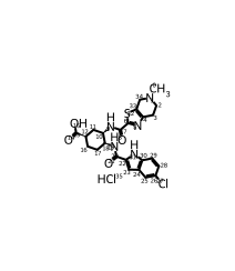 CN1CCc2nc(C(=O)N[C@@H]3C[C@H](C(=O)O)CC[C@@H]3NC(=O)c3cc4cc(Cl)ccc4[nH]3)sc2C1.Cl